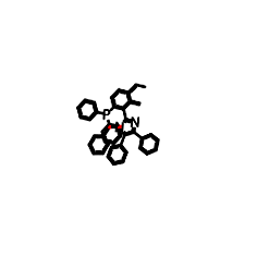 C=c1c(-c2nc(-c3ccccc3)c(-c3ccccc3)n2Cc2ccccc2)c(P(c2ccccc2)c2ccccc2)cc/c1=C/C